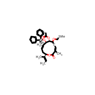 CC=C(C)[C@H]1CC=C(C)[C@@H](O[Si](c2ccccc2)(c2ccccc2)C(C)(C)C)[C@H](OC(=O)CC(C)C)C(OCSC)CC=C(C)C(=O)O1